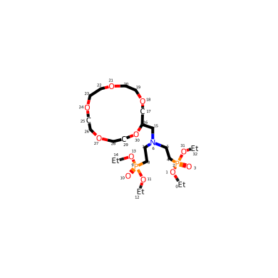 CCOP(=O)(CCN(CCP(=O)(OCC)OCC)CC1COCCOCCOCCOCCO1)OCC